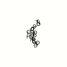 CC(C)N1CCC[C@H](COc2ccc(Cl)c(C(=O)NC(=O)Nc3nc4ccc(S(C)(=O)=O)cc4s3)c2)C1